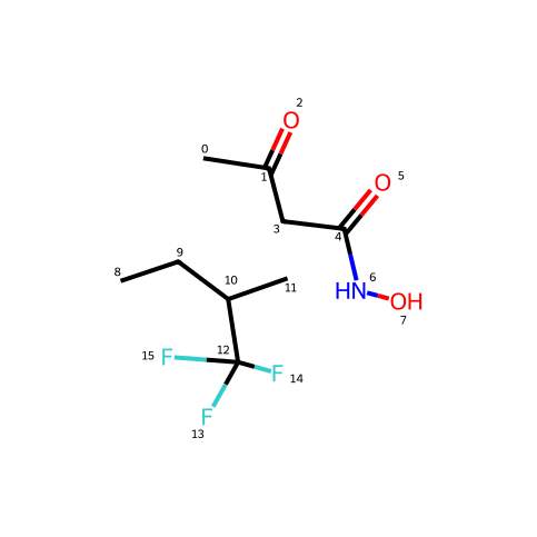 CC(=O)CC(=O)NO.CCC(C)C(F)(F)F